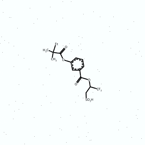 CCC(C)(C)C(=O)Oc1cccc(C(=O)OC(CS(=O)(=O)O)C(F)(F)F)c1